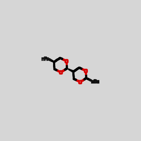 CCCCC1OCC([C@H]2OC[C@H](CCC)CO2)CO1